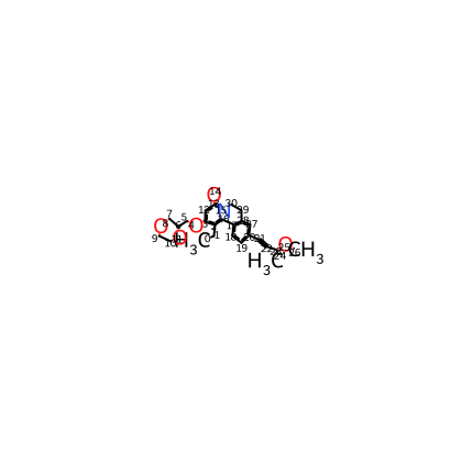 CCc1c(OCC2COCCO2)cc(=O)n2c1-c1ccc(C#CC(C)OC)cc1CC2